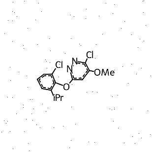 COc1cc(Oc2c(Cl)cccc2C(C)C)nnc1Cl